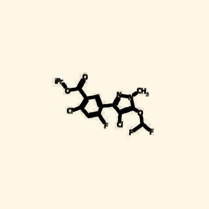 CC(C)OC(=O)c1cc(-c2nn(C)c(OC(F)F)c2Cl)c(F)cc1Cl